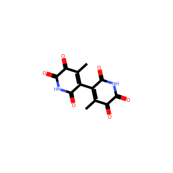 CC1=C(C2=C(C)C(=O)C(=O)NC2=O)C(=O)NC(=O)C1=O